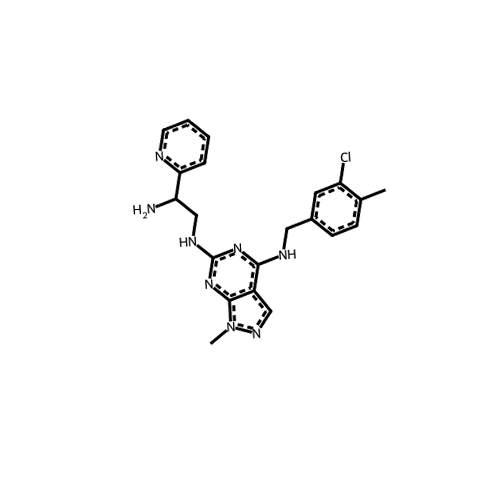 Cc1ccc(CNc2nc(NCC(N)c3ccccn3)nc3c2cnn3C)cc1Cl